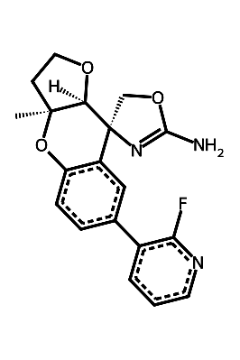 C[C@]12CCO[C@H]1[C@]1(COC(N)=N1)c1cc(-c3cccnc3F)ccc1O2